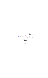 Nc1nc(-c2ccco2)c(C(=O)Cc2ccccc2)s1